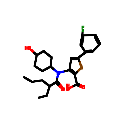 CCCC(CC)C(=O)N(c1cc(-c2cccc(F)c2)sc1C(=O)O)C1CCC(O)CC1